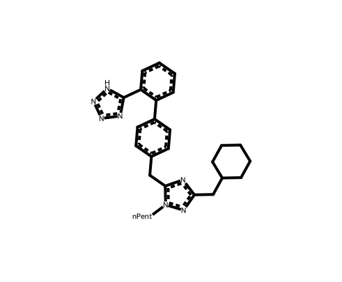 CCCCCn1nc(CC2CCCCC2)nc1Cc1ccc(-c2ccccc2-c2nnn[nH]2)cc1